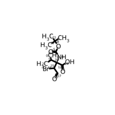 CC(C)[C@](NC(=O)OC(C)(C)C)(C(=O)O)C(Br)C=O